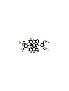 Cc1cc(C)cc(-c2cc3c(s2)C2(c4ccccc4Sc4ccccc42)c2cc(-c4cc(C)cc(C)c4)sc2C32c3ccccc3Sc3ccccc32)c1